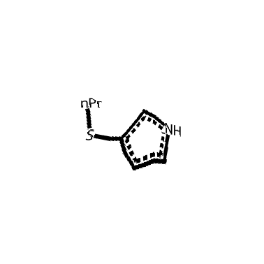 C[CH]CSc1cc[nH]c1